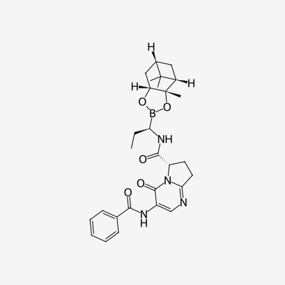 CC[C@H](NC(=O)[C@@H]1CCc2ncc(NC(=O)c3ccccc3)c(=O)n21)B1O[C@@H]2C[C@@H]3C[C@@H](C3(C)C)[C@]2(C)O1